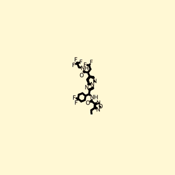 CCc1nonc1C(=O)NC(c1cn2ncc(C(CC(F)F)C(=O)NCC(F)(F)F)cc2n1)C1CCC(F)(F)CC1